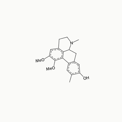 COc1cc2c3c(c1OC)-c1cc(C)c(O)cc1CC3N(C)CC2